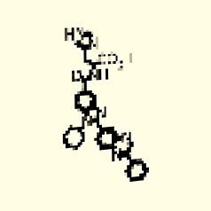 O=C(NC(Cc1c[nH]cn1)C(=O)O)c1ccc2c(c1)nc(-c1ccc3nc(-c4ccccc4)cnc3c1)n2C1CCCCC1